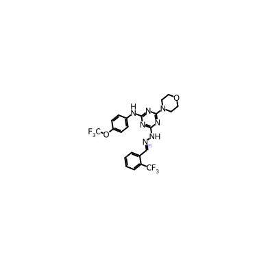 FC(F)(F)Oc1ccc(Nc2nc(N/N=C/c3ccccc3C(F)(F)F)nc(N3CCOCC3)n2)cc1